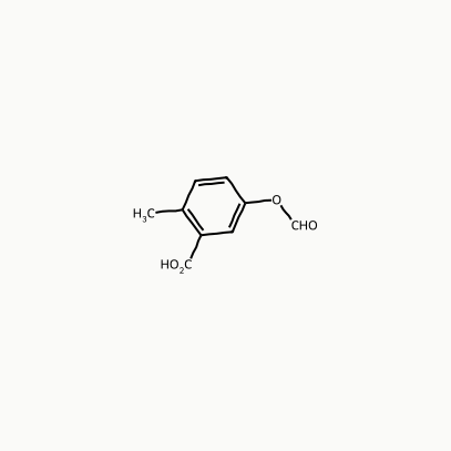 Cc1ccc(OC=O)cc1C(=O)O